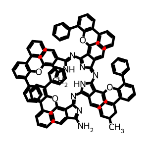 C=C1N/C(=N\C2=NC(=N\c3[nH]c(/N=C4\N=C(N)c5cccc(Oc6c(-c7ccccc7)cccc6-c6ccccc6)c54)c4cccc(Oc5c(C6=CC=CC(C)C6)cccc5-c5ccccc5)c34)/c3cccc(Oc4c(-c5ccccc5)cccc4-c4ccccc4)c32)c2cccc(Oc3c(-c4ccccc4)cccc3-c3ccccc3)c21